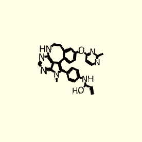 C=CC(O)Nc1ccc(-c2c3c4c(ncnc4n2C)NCCc2cc(Oc4ccnc(C)n4)ccc2-3)cc1